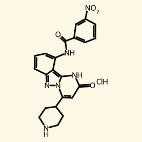 Cl.O=C(Nc1cccc2nn3c(C4CCNCC4)cc(=O)[nH]c3c12)c1cccc([N+](=O)[O-])c1